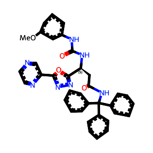 COc1cccc(NC(=O)N[C@@H](CC(=O)NC(c2ccccc2)(c2ccccc2)c2ccccc2)c2nnc(-c3cnccn3)o2)c1